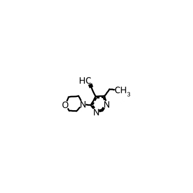 C#Cc1c(CC)ncnc1N1CCOCC1